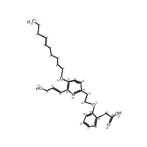 CCCCCCCCCCOc1ccc(CCOc2ccccc2CC(=O)O)nc1C=CCO